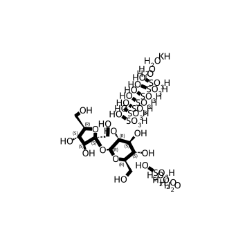 O.O.O.O.O.O.O.O=S(=O)(O)O.O=S(=O)(O)O.O=S(=O)(O)O.O=S(=O)(O)O.O=S(=O)(O)O.O=S(=O)(O)O.O=S(=O)(O)O.O=S(=O)(O)O.OC[C@H]1O[C@@](CO)(O[C@H]2O[C@H](CO)[C@@H](O)[C@H](O)[C@H]2O)[C@@H](O)[C@@H]1O.[KH]